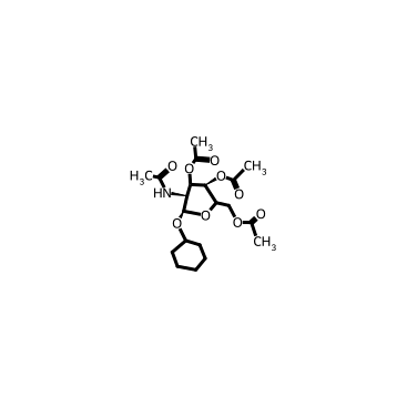 CC(=O)N[C@H]1C(OC(C)=O)[C@@H](OC(C)=O)C(COC(C)=O)O[C@H]1OC1CCCCC1